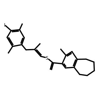 C=C(S/C=C(\C)Cc1cc(C)c(I)cc1C)c1cc2c(cc1C)CCCCC2